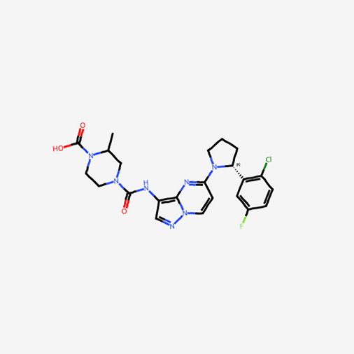 CC1CN(C(=O)Nc2cnn3ccc(N4CCC[C@@H]4c4cc(F)ccc4Cl)nc23)CCN1C(=O)O